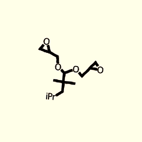 CC(C)CC(C)(C)C(OCC1CO1)OCC1CO1